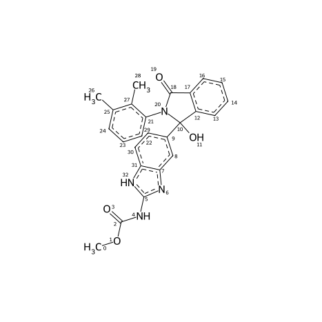 COC(=O)Nc1nc2cc(C3(O)c4ccccc4C(=O)N3c3cccc(C)c3C)ccc2[nH]1